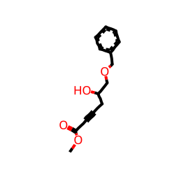 COC(=O)C#CCC(O)COCc1ccccc1